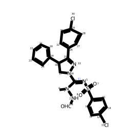 CN(NC=O)/C(=N\S(=O)(=O)c1ccc(Cl)cc1)N1CC(c2ccccc2)C(c2ccc(Cl)cc2)=N1